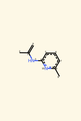 C=C(C)Nc1cccc(C)n1